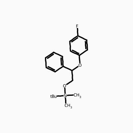 CC(C)(C)[Si](C)(C)OCC(Oc1ccc(F)cc1)c1ccccc1